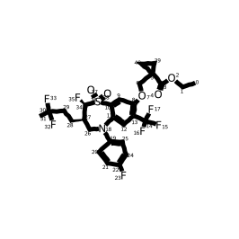 CCOC(=O)C1(COc2cc3c(cc2C(F)(F)F)N(c2ccc(F)cc2)C[C@@H](CCC(C)(F)F)[C@@H](F)S3(=O)=O)CC1